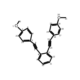 COc1ccc(C#Cc2ccccc2C#Cc2ccc(OC)cc2)cc1